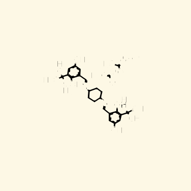 CC(=O)[O-].CC(=O)[O-].Cc1cc(C=NC2CCC(N=Cc3cc(C)cc(C(C)(C)C)c3O)CC2)c(O)c(C(C)(C)C)c1.[Co+2]